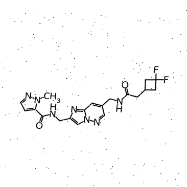 Cn1nccc1C(=O)NCc1cn2ncc(CNC(=O)CC3CC(F)(F)C3)cc2n1